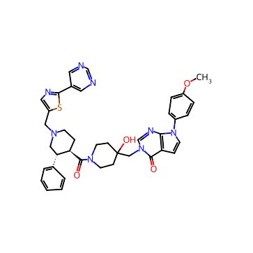 COc1ccc(-n2ccc3c(=O)n(CC4(O)CCN(C(=O)[C@@H]5CCN(Cc6cnc(-c7cncnc7)s6)C[C@H]5c5ccccc5)CC4)cnc32)cc1